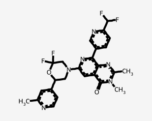 Cc1cc(C2CN(c3cc4c(=O)n(C)c(C)nc4c(-c4ccc(C(F)F)nc4)n3)CC(F)(F)O2)ccn1